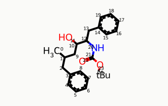 CC(Cc1ccccc1)CC(O)C(Cc1ccccc1)NC(=O)OC(C)(C)C